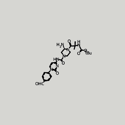 CC(C)(C)OC(=O)NC(C)(C)C(=O)N1CCN(C(=O)Nc2ccn(-c3ccc(C=O)cc3)c(=O)n2)C[C@H]1N